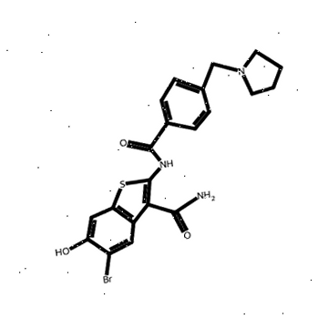 NC(=O)c1c(NC(=O)c2ccc(CN3CCCC3)cc2)sc2cc(O)c(Br)cc12